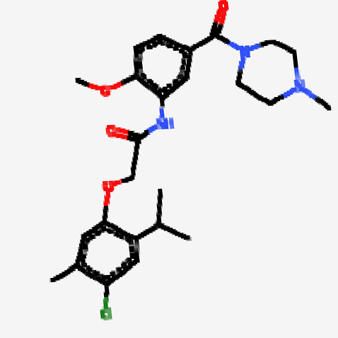 COc1ccc(C(=O)N2CCN(C)CC2)cc1NC(=O)COc1cc(C)c(Cl)cc1C(C)C